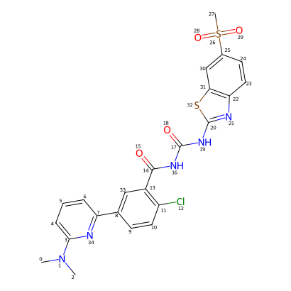 CN(C)c1cccc(-c2ccc(Cl)c(C(=O)NC(=O)Nc3nc4ccc(S(C)(=O)=O)cc4s3)c2)n1